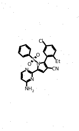 CCc1ccc(Cl)cc1-c1c(C#N)cc(-c2nccc(N)n2)n1S(=O)(=O)c1ccccc1